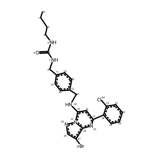 CCCCNC(=O)NCc1ccc(CNc2cc(-c3ccccc3Cl)nc3c(Br)cnn23)cc1